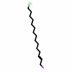 ClCCCCCCCCCCCCC=CCI